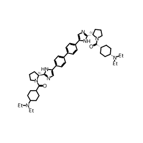 CCN(CC)C1CCC(C(=O)N2CCC[C@H]2c2ncc(-c3ccc(-c4ccc(-c5cnc([C@@H]6CCCN6C(=O)[C@H]6CC[C@@H](N(CC)CC)CC6)[nH]5)cc4)cc3)[nH]2)CC1